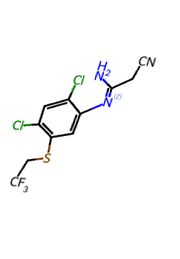 N#CC/C(N)=N/c1cc(SCC(F)(F)F)c(Cl)cc1Cl